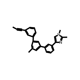 CC#Cc1cccc(-c2cc(C)cc(-c3cccc(-c4cn(C)c(C)n4)c3)c2)c1